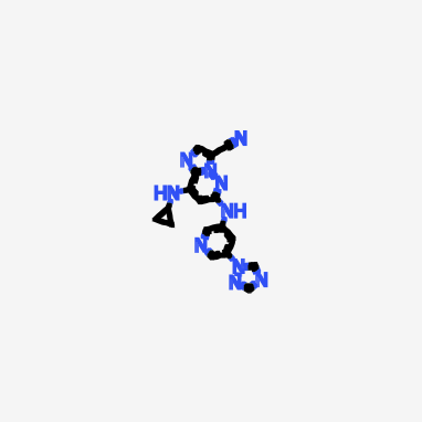 N#Cc1cnc2c(NC3CC3)cc(Nc3cncc(-n4cncn4)c3)nn12